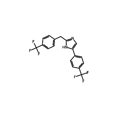 FC(F)(F)c1ccc(Cc2ncc(-c3ccc(C(F)(F)F)cc3)[nH]2)cc1